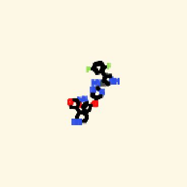 Fc1ccc(F)c([C@H]2CNC[C@@H]2Nc2ncc(OCC[C@@]3(c4cnno4)CCNCC3C3CCOC3)cn2)c1